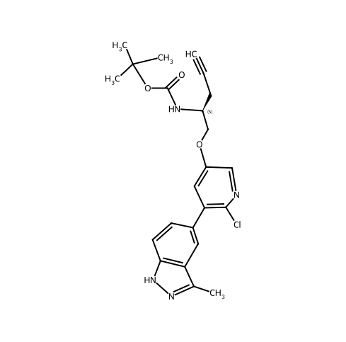 C#CC[C@@H](COc1cnc(Cl)c(-c2ccc3[nH]nc(C)c3c2)c1)NC(=O)OC(C)(C)C